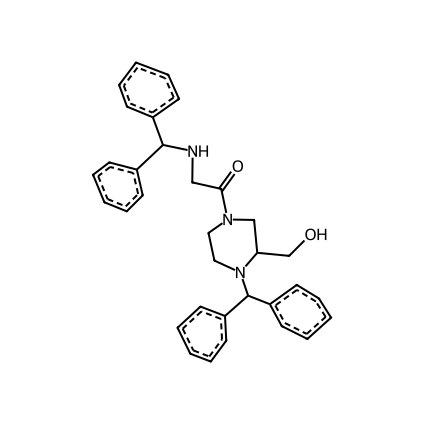 O=C(CNC(c1ccccc1)c1ccccc1)N1CCN(C(c2ccccc2)c2ccccc2)C(CO)C1